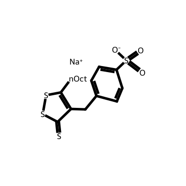 CCCCCCCCc1ssc(=S)c1Cc1ccc(S(=O)(=O)[O-])cc1.[Na+]